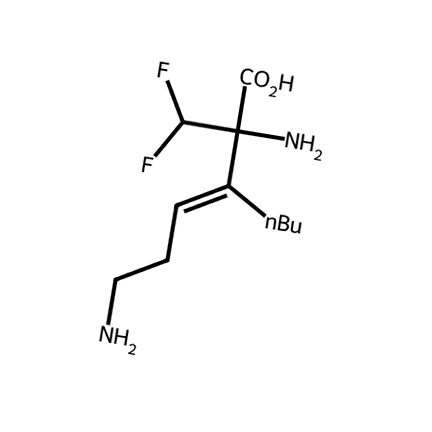 CCCC/C(=C\CCN)C(N)(C(=O)O)C(F)F